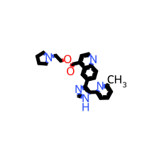 Cc1cccc(-c2[nH]cnc2-c2ccc3nccc(C(=O)OCCN4CCCC4)c3c2)n1